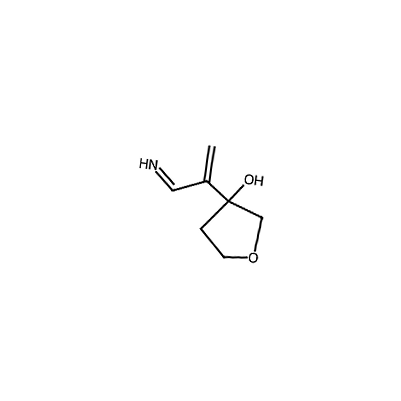 C=C(C=N)C1(O)CCOC1